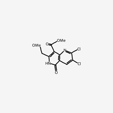 COCc1[nH]c(=O)c2cc(Cl)c(Cl)nc2c1C(=O)OC